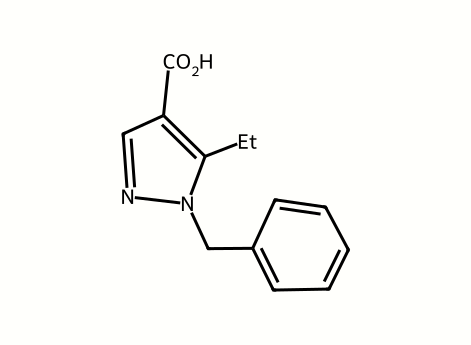 CCc1c(C(=O)O)cnn1Cc1ccccc1